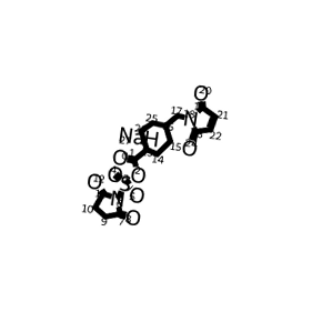 O=C(OS(=O)(=O)N1C(=O)CCC1=O)C1CCC(CN2C(=O)C=CC2=O)CC1.[NaH]